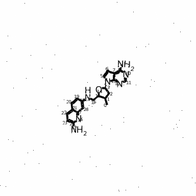 CC1C[C@H](n2ccc3c(N)ncnc32)OC1CNc1ccc2ccc(N)nc2c1